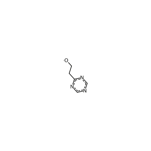 [O]CCc1ncncn1